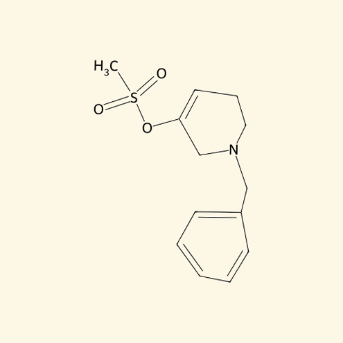 CS(=O)(=O)OC1=CCCN(Cc2ccccc2)C1